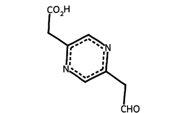 O=CCc1cnc(CC(=O)O)cn1